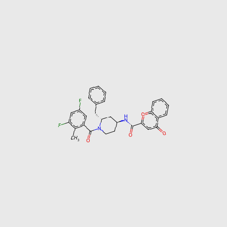 Cc1c(F)cc(F)cc1C(=O)N1CC[C@H](NC(=O)c2cc(=O)c3ccccc3o2)C[C@H]1Cc1ccccc1